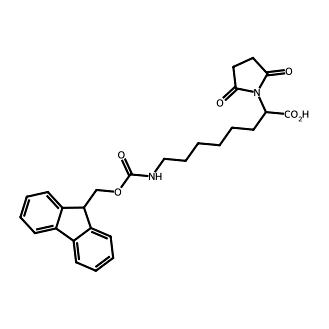 O=C(NCCCCCCC(C(=O)O)N1C(=O)CCC1=O)OCC1c2ccccc2-c2ccccc21